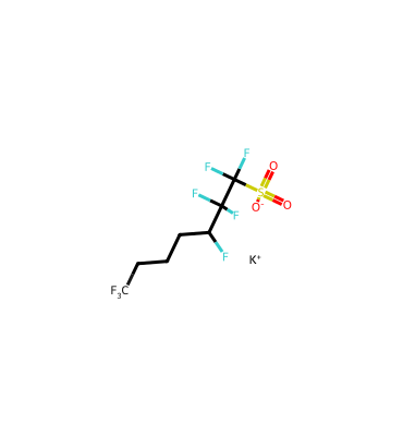 O=S(=O)([O-])C(F)(F)C(F)(F)C(F)CCCC(F)(F)F.[K+]